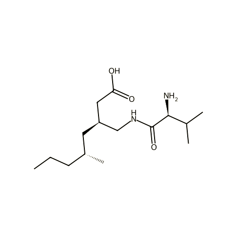 CCC[C@@H](C)C[C@H](CNC(=O)[C@@H](N)C(C)C)CC(=O)O